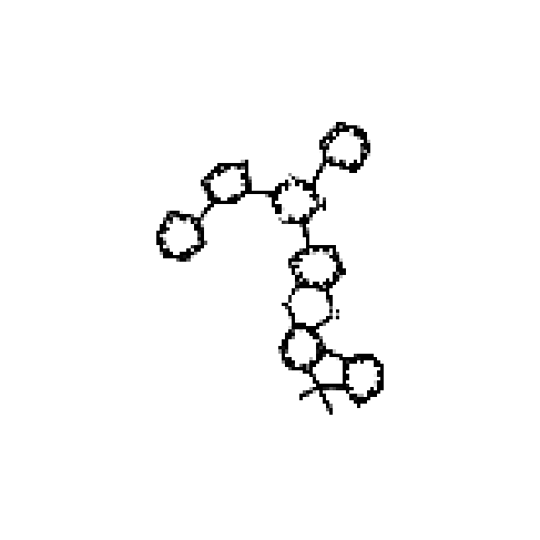 CC1(C)c2ccccc2-c2c1ccc1c2Oc2ccc(-c3nc(-c4ccccc4)nc(-c4cccc(-c5ccccc5)c4)n3)cc2O1